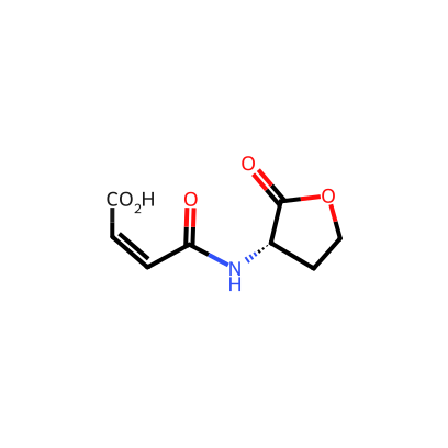 O=C(O)/C=C\C(=O)N[C@H]1CCOC1=O